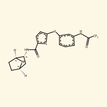 O=C(N[C@@H]1C[C@H]2CC[C@@H]1N2)c1ccc(Sc2cccc(NC(=O)C(F)(F)F)c2)s1